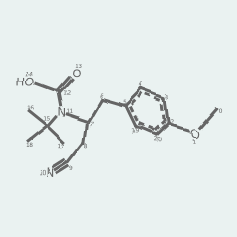 COc1ccc(CC(CC#N)N(C(=O)O)C(C)(C)C)cc1